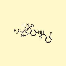 NS(=O)(=O)c1cc(NC(=O)Cc2ccccc2F)ccc1-n1cnc(C(F)(F)F)n1